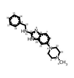 CN1CCN(c2ccc3nc(NCc4ccccc4)[nH]c3c2)CC1